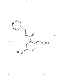 COC[C@H]1CC[C@@H](C(=O)O)CN1C(=O)OCc1ccccc1